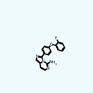 Nc1nccc2cnc(-c3ccc(Oc4ccccc4F)cc3)n12